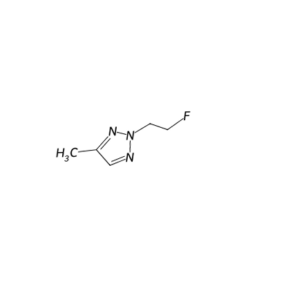 Cc1cnn(CCF)n1